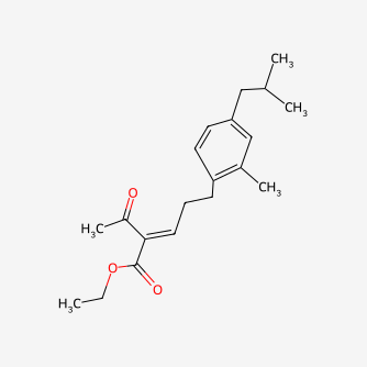 CCOC(=O)/C(=C/CCc1ccc(CC(C)C)cc1C)C(C)=O